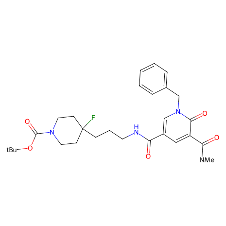 CNC(=O)c1cc(C(=O)NCCCC2(F)CCN(C(=O)OC(C)(C)C)CC2)cn(Cc2ccccc2)c1=O